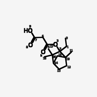 CCC1(OC(=O)CC(=O)O)C2(C)CCC(C2)C1(C)C